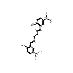 O=[N+]([O-])c1ccc(O)c(C=NCCN=Cc2cc([N+](=O)[O-])ccc2O)c1